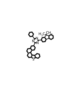 CC1(C)c2ccccc2-c2ccc(-c3nc(-c4ccccc4)nc(-c4ccc5c(ccc6ccc7sc8ccccc8c7c65)c4)n3)cc21